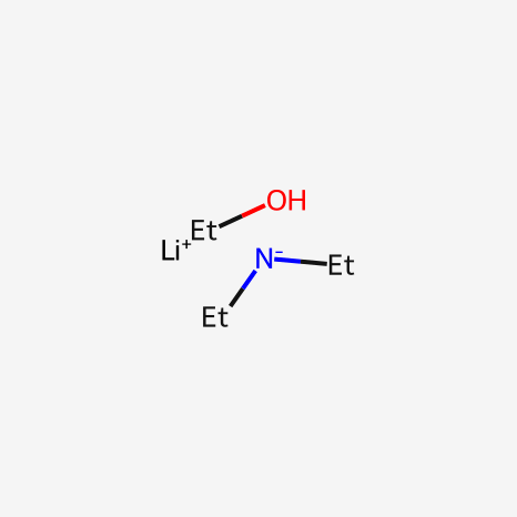 CCO.CC[N-]CC.[Li+]